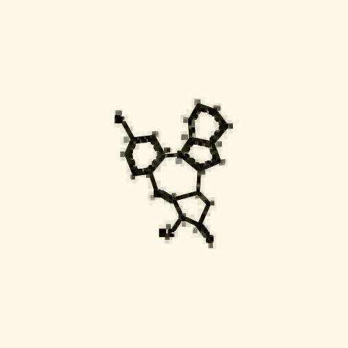 CN1C(=O)CC2C1=Nc1ccc(Br)cc1-n1c2cc2ccccc21